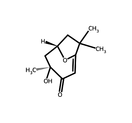 CC1(C)C[C@H]2C[C@](C)(O)C(=O)C=C1O2